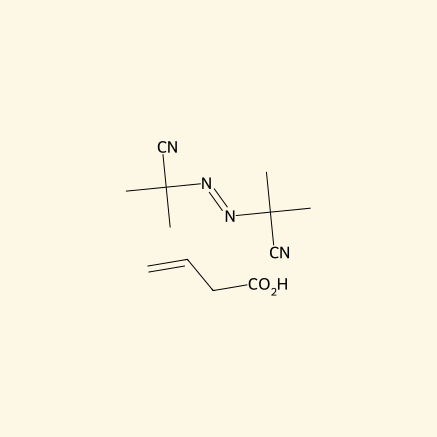 C=CCC(=O)O.CC(C)(C#N)N=NC(C)(C)C#N